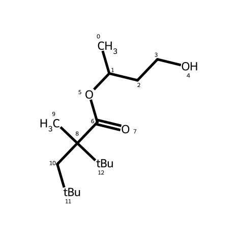 CC(CCO)OC(=O)C(C)(CC(C)(C)C)C(C)(C)C